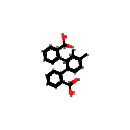 Cc1ccc(-c2ccccc2C(=O)O)c(-c2ccccc2C(=O)O)c1C